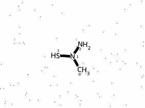 CN(N)S